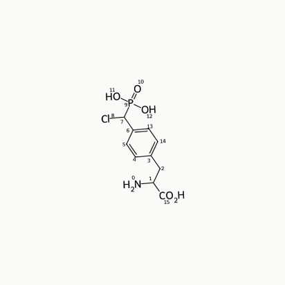 NC(Cc1ccc(C(Cl)P(=O)(O)O)cc1)C(=O)O